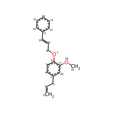 C=CCc1ccc(OC/C=C/c2ccccc2)c(OC)c1